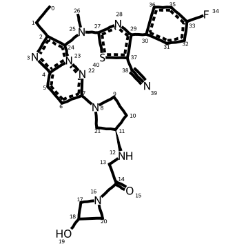 CCc1nc2ccc(N3CC[C@@H](NCC(=O)N4CC(O)C4)C3)nn2c1N(C)c1nc(-c2ccc(F)cc2)c(C#N)s1